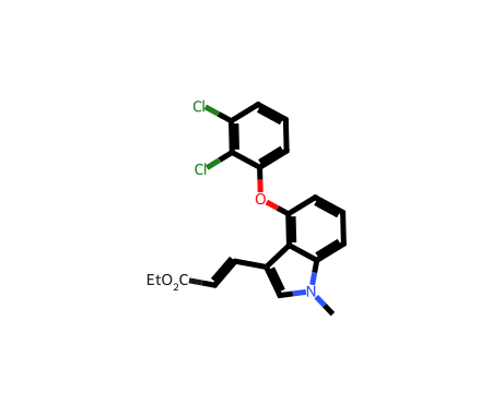 CCOC(=O)/C=C/c1cn(C)c2cccc(Oc3cccc(Cl)c3Cl)c12